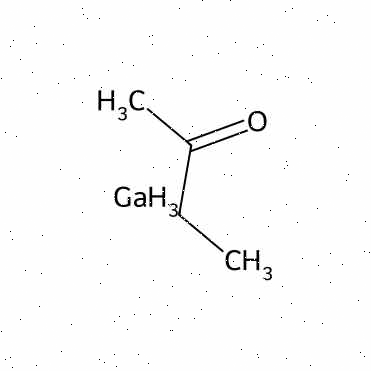 CCC(C)=O.[GaH3]